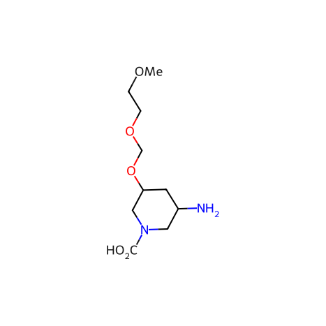 COCCOCOC1CC(N)CN(C(=O)O)C1